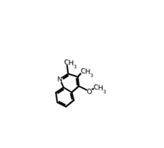 COc1c(C)c(C)nc2ccccc12